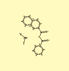 FBF.O=C(CC(=O)c1ccc2ccccc2c1)c1ccccc1